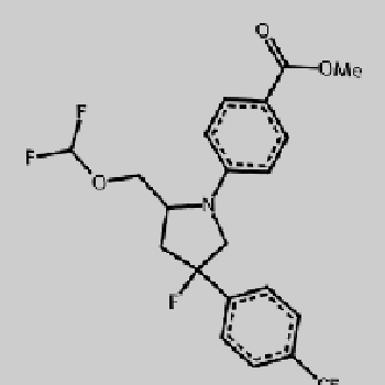 COC(=O)c1ccc(N2CC(F)(c3ccc(C(F)(F)F)cc3)CC2COC(F)F)cc1